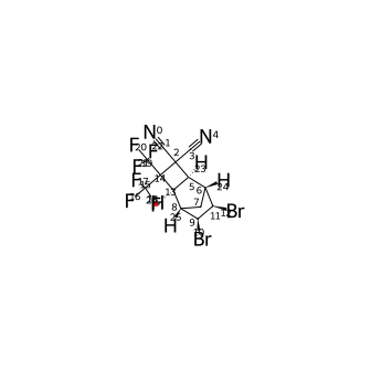 N#CC1(C#N)[C@H]2[C@H]3C[C@H]([C@H](Br)[C@@H]3Br)[C@H]2C1(C(F)(F)F)C(F)(F)F